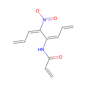 C=C/C=C(NC(=O)C=C)\C(=C/C=C)[N+](=O)[O-]